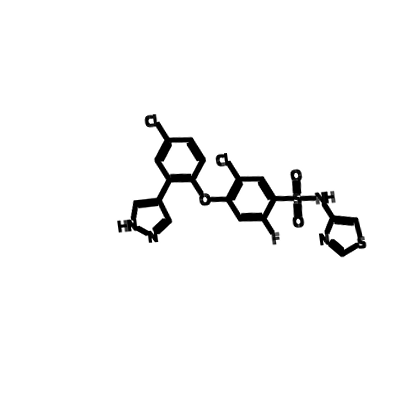 O=S(=O)(Nc1cscn1)c1cc(Cl)c(Oc2ccc(Cl)cc2-c2cn[nH]c2)cc1F